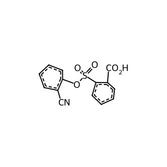 N#Cc1ccccc1OS(=O)(=O)c1ccccc1C(=O)O